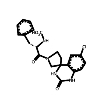 O=C(O)N[C@@H](Cc1ccccc1)C(=O)N1CCC2(C1)NC(=O)Nc1ccc(Cl)cc12